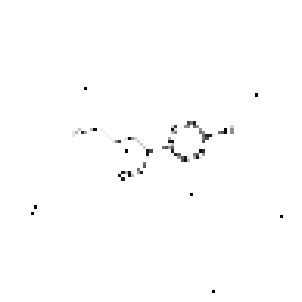 O=CC(CCCS)c1ccc(Cl)cc1